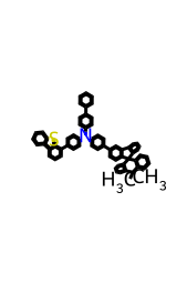 CC1(C)c2ccccc2C2(c3ccccc3-c3cc(-c4ccc(N(c5ccc(-c6ccccc6)cc5)c5ccc(-c6cccc7c6sc6ccccc67)cc5)cc4)ccc32)c2ccccc21